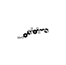 COc1ccc(-c2cnc(Nc3cccc(C(=O)NCCCN4CCOCC4)c3)nc2)cc1